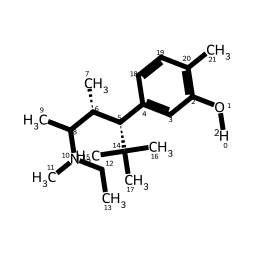 [2H]Oc1cc([C@@H]([C@@H](C)C(C)N(C)CC)C(C)(C)C)ccc1C